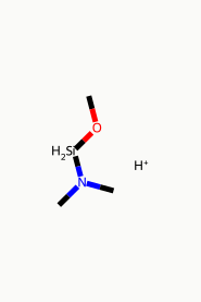 CO[SiH2]N(C)C.[H+]